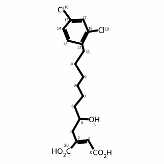 O=C(O)C=C(CC(O)CCCCCCc1ccc(Cl)cc1Cl)C(=O)O